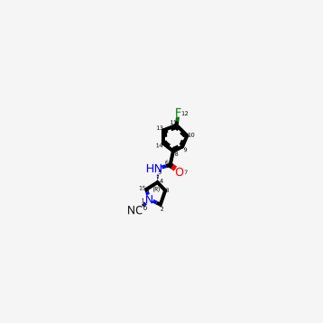 N#CN1CC[C@@H](NC(=O)c2ccc(F)cc2)C1